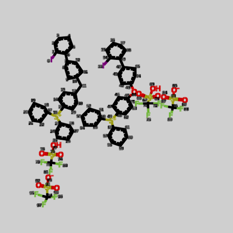 Ic1ccccc1-c1ccc(Cc2ccc([S+](c3ccccc3)c3ccccc3)cc2)cc1.Ic1ccccc1-c1ccc(Oc2ccc([S+](c3ccccc3)c3ccccc3)cc2)cc1.O=S(=O)(O)C(F)(F)F.O=S(=O)(O)C(F)(F)F.O=S(=O)([O-])C(F)(F)F.O=S(=O)([O-])C(F)(F)F